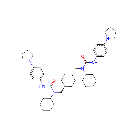 O=C(Nc1ccc(N2CCCC2)cc1)N(C[C@H]1CC[C@H](CN(C(=O)Nc2ccc(N3CCCC3)cc2)C2CCCCC2)CC1)C1CCCCC1